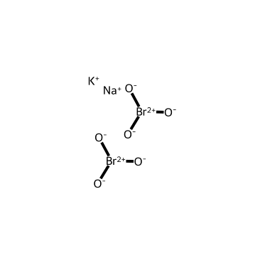 [K+].[Na+].[O-][Br+2]([O-])[O-].[O-][Br+2]([O-])[O-]